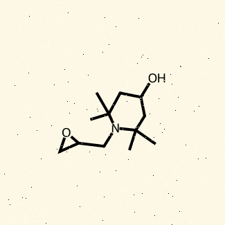 CC1(C)CC(O)CC(C)(C)N1CC1CO1